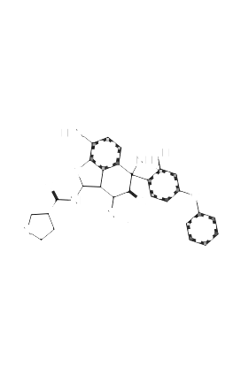 Cc1cc(Oc2ccccc2)ccc1C1(N)C(=O)C(N)C2c3c1ccc(N)c3SC2NC(=O)[C@H]1CCNC1